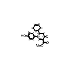 COC(=O)C1=CN(c2ccc(O)cc2)C(C2CC=CCC2)CC1=O